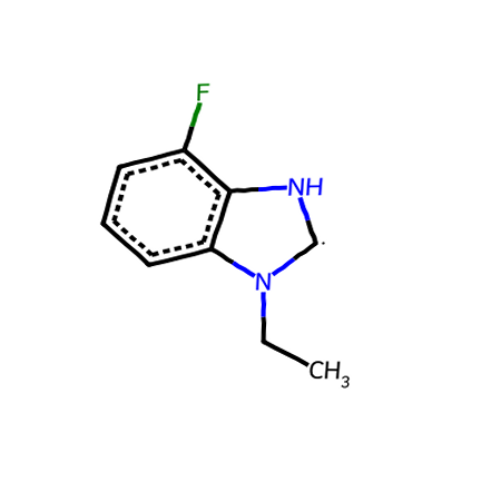 CCN1[CH]Nc2c(F)cccc21